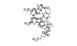 CCCCS(=O)(=O)OCC(C)(O)C(=O)C(Cc1ccccc1)NC(=O)[C@H](COC)NC(=O)[C@H](COC)NC(=O)c1cnc(C)s1